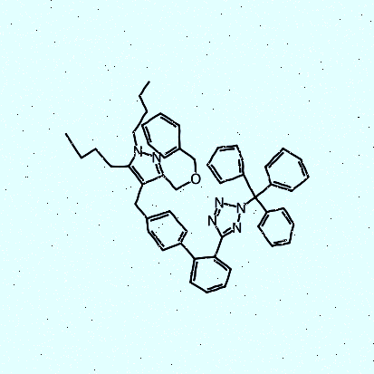 CCCCc1c(Cc2ccc(-c3ccccc3-c3nnn(C(c4ccccc4)(c4ccccc4)c4ccccc4)n3)cc2)c(COCc2ccccc2)nn1CCCC